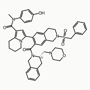 CN(C(=O)c1cc(-c2cc3c(cc2C(=O)N2Cc4ccccc4C[C@H]2CN2CCOCC2)CN(S(=O)(=O)Cc2ccccc2)CC3)n2c1CCCC2)c1ccc(O)cc1